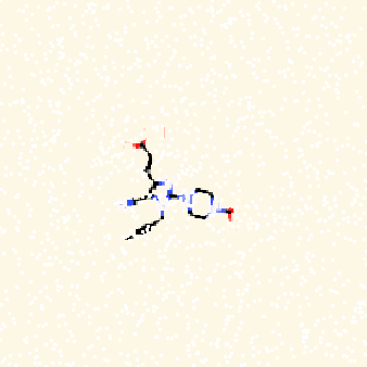 CC#CCn1c(N2CCN(C(=O)O)CC2)nc(C=CC(=O)O)c1C#N